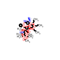 CCCCOC1C(C)OC(OC2C(N=[N+]=[N-])CC(C(N)=O)CC2OC2OC(COc3ccccc3)C(O)C(OC3(C(=O)OC)CC(OC(C)=O)C(NC(C)=O)C([C@H](OC(C)=O)[C@@H](COC(C)=O)OC(C)=O)O3)C2O)C(OCCCC)C1OCCCC